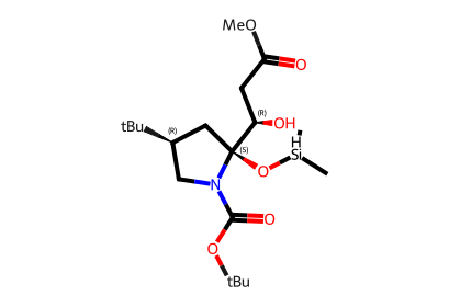 COC(=O)C[C@@H](O)[C@@]1(O[SiH](C)C)C[C@H](C(C)(C)C)CN1C(=O)OC(C)(C)C